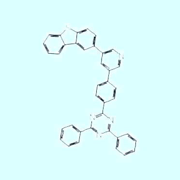 c1ccc(-c2nc(-c3ccccc3)nc(-c3ccc(-c4cncc(-c5ccc6sc7ccccc7c6c5)c4)cc3)n2)cc1